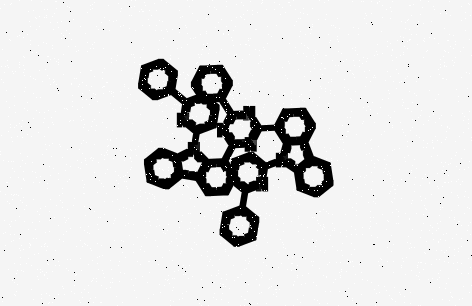 c1ccc(-c2cccc(-n3c4ccccc4c4cccc(-c5nc(-c6ccccc6)nc(-c6cccc7c8ccccc8n(-c8cccc(-c9ccccc9)n8)c67)n5)c43)n2)cc1